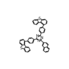 c1ccc2cc(-c3nc(-c4ccc(-c5cccc6sc7ccccc7c56)cc4)nc(-c4ccc(-c5cccc6sc7ccccc7c56)cc4)n3)ccc2c1